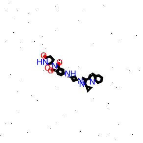 O=C1CCC(N2C(=O)c3ccc(NC[C@H]4C[C@H](n5cc(-c6ccc7c(n6)CCCC7)c(C6CC6)n5)C4)cc3C2=O)C(=O)N1